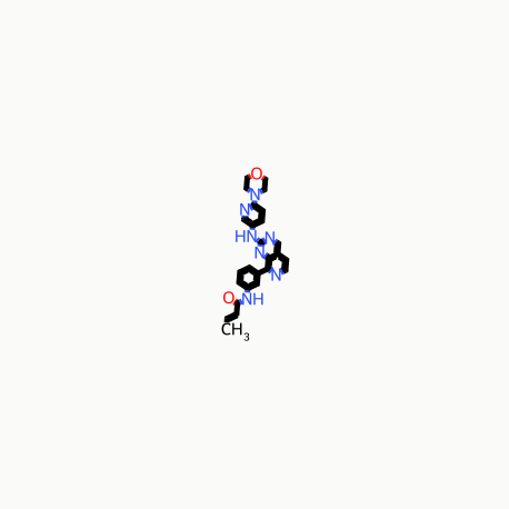 CC=CC(=O)Nc1cccc(-c2nccc3cnc(Nc4ccc(N5CCOCC5)nc4)nc23)c1